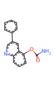 NC(=O)Oc1cccc2ncc(-c3ccccc3)cc12